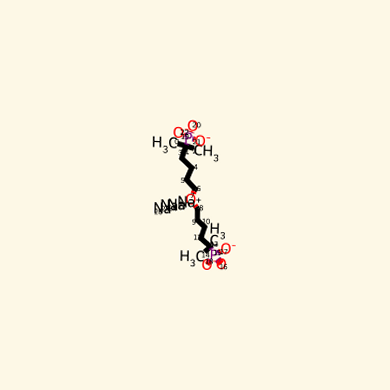 CC(C)(CCCCOCCCCC(C)(C)P(=O)([O-])[O-])P(=O)([O-])[O-].[Na+].[Na+].[Na+].[Na+]